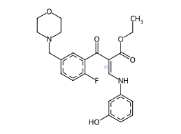 CCOC(=O)/C(=C\Nc1cccc(O)c1)C(=O)c1cc(CN2CCOCC2)ccc1F